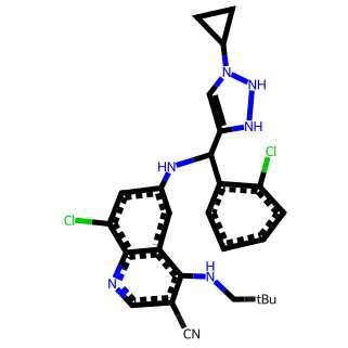 CC(C)(C)CNc1c(C#N)cnc2c(Cl)cc(NC(C3=CN(C4CC4)NN3)c3ccccc3Cl)cc12